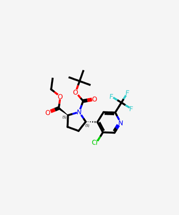 CCOC(=O)[C@@H]1CC[C@@H](c2cc(C(F)(F)F)ncc2Cl)N1C(=O)OC(C)(C)C